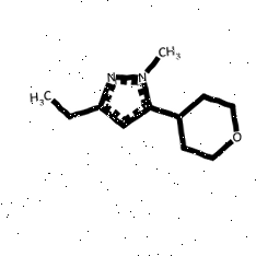 CCc1cc(C2CCOCC2)n(C)n1